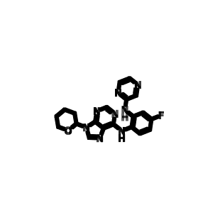 Fc1ccc(Nc2ncnc3c2ncn3C2CCCCO2)c(Nc2cnccn2)c1